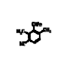 COc1c(C)ccc(C#N)c1C